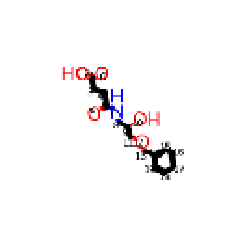 O=C(O)CCC(=O)NC[C@@H](O)COCc1ccccc1